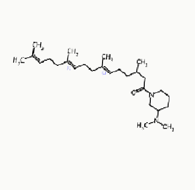 CC(C)=CCC/C(C)=C/CC/C(C)=C/CCC(C)CC(=O)N1CCCC(N(C)C)C1